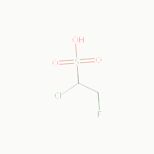 O=S(=O)(O)C(Cl)CF